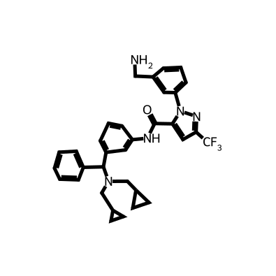 NCc1cccc(-n2nc(C(F)(F)F)cc2C(=O)Nc2cccc(C(c3ccccc3)N(CC3CC3)CC3CC3)c2)c1